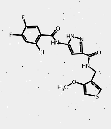 COc1cscc1CNC(=O)c1cc(NC(=O)c2cc(F)c(F)cc2Cl)[nH]n1